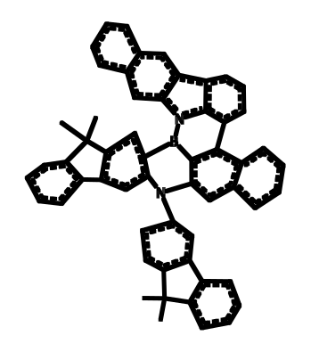 CC1(C)c2ccccc2-c2cc(N3c4cc5c(cc4B4c6c3cc3ccccc3c6-c3cccc6c7cc8ccccc8cc7n4c36)C(C)(C)c3ccccc3-5)ccc21